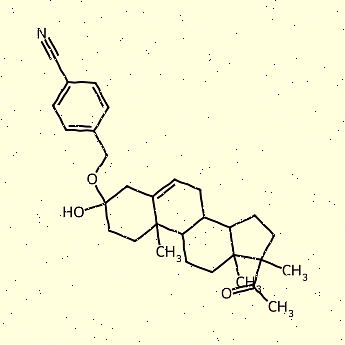 CC(=O)C1(C)CCC2C3CC=C4CC(O)(OCc5ccc(C#N)cc5)CCC4(C)C3CCC21C